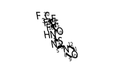 O=C(Nc1ncc(N2CCOCC2)s1)C(F)(F)C(F)(F)C(F)(F)F